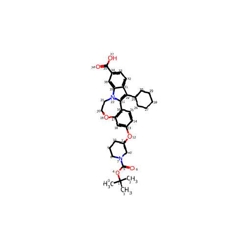 CC(C)(C)OC(=O)N1CCCC(Oc2ccc3c(c2)OCCn2c-3c(C3CCCCC3)c3ccc(C(=O)O)cc32)C1